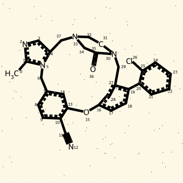 Cc1ncc2n1Cc1ccc(C#N)c(c1)Oc1ccc(-c3ccccc3Cl)c(c1)CN1CCN(CC1=O)C2